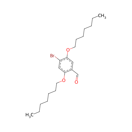 CCCCCCCOc1cc(C=O)c(OCCCCCCC)cc1Br